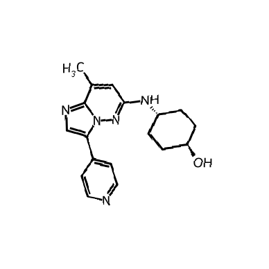 Cc1cc(N[C@H]2CC[C@H](O)CC2)nn2c(-c3ccncc3)cnc12